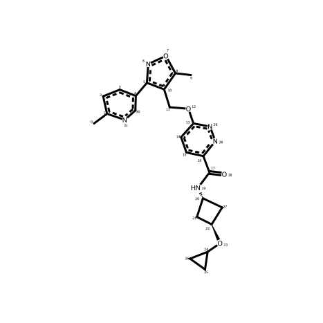 Cc1ccc(-c2noc(C)c2COc2ccc(C(=O)N[C@H]3C[C@H](OC4CC4)C3)nn2)cn1